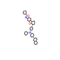 c1ccc(-c2nc3cc4oc5c(-c6ccc(N(c7ccccc7)c7ccc(-c8ccc9ccccc9c8)cc7)cc6)cccc5c4cc3o2)cc1